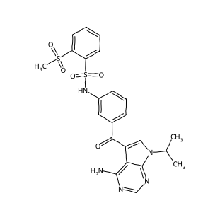 CC(C)n1cc(C(=O)c2cccc(NS(=O)(=O)c3ccccc3S(C)(=O)=O)c2)c2c(N)ncnc21